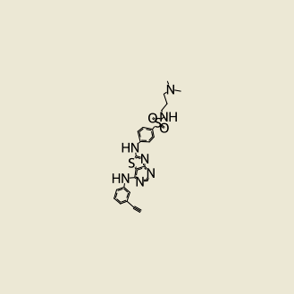 C#Cc1cccc(Nc2ncnc3nc(Nc4ccc(S(=O)(=O)NCCCN(C)C)cc4)sc23)c1